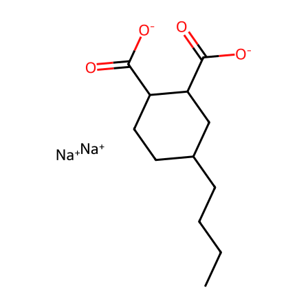 CCCCC1CCC(C(=O)[O-])C(C(=O)[O-])C1.[Na+].[Na+]